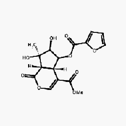 COC(=O)C1=COC(=O)[C@H]2[C@@H]1[C@H](OC(=O)c1ccco1)[C@H](O)[C@]2(C)O